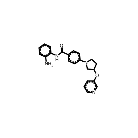 Nc1ccccc1NC(=O)c1ccc(N2CCC(Oc3cccnc3)C2)cc1